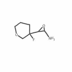 NC1OC1C1(F)CCCOC1